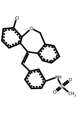 CS(=O)(=O)Nc1cccc(/C=C2\c3ccccc3COc3c(Cl)cccc32)c1